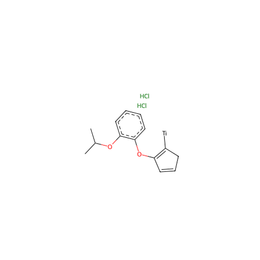 CC(C)Oc1ccccc1OC1=[C]([Ti])CC=C1.Cl.Cl